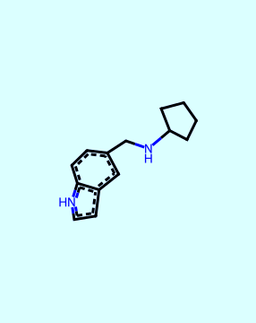 c1cc2cc(CNC3CCCC3)ccc2[nH]1